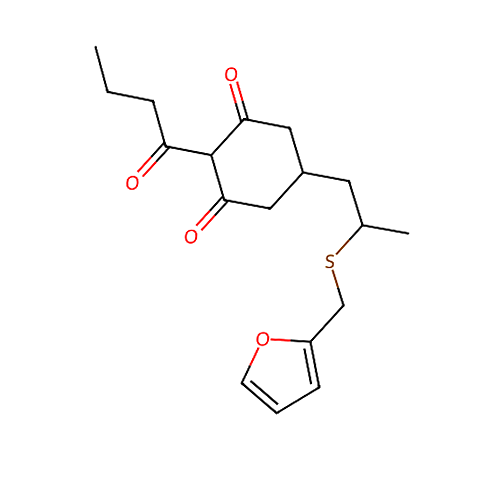 CCCC(=O)C1C(=O)CC(CC(C)SCc2ccco2)CC1=O